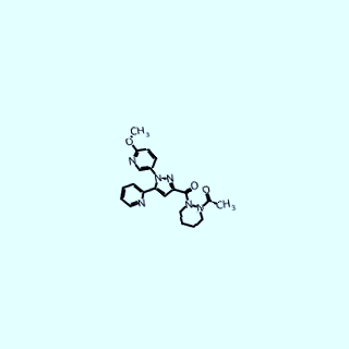 COc1ccc(-n2nc(C(=O)N3CCCCN3C(C)=O)cc2-c2ccccn2)cn1